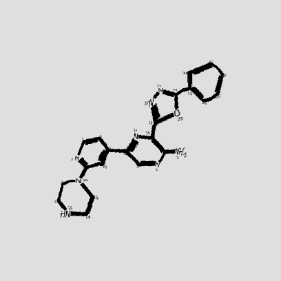 Nc1ncc(-c2ccnc(N3CCNCC3)c2)nc1-c1nnc(-c2ccccc2)o1